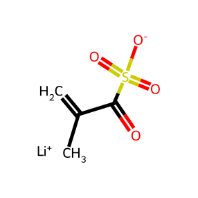 C=C(C)C(=O)S(=O)(=O)[O-].[Li+]